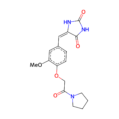 COc1cc(C=C2NC(=O)NC2=O)ccc1OCC(=O)N1CCCC1